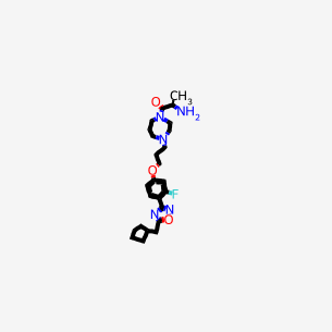 C[C@@H](N)C(=O)N1CCCN(CCCOc2ccc(-c3noc(CC4CCCC4)n3)c(F)c2)CC1